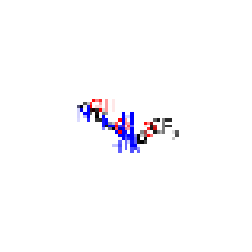 Cc1ccc([C@]2(O)CC[C@H](N3CC(NC(=O)CNc4nn(C)c5ccc(OCC(F)(F)F)cc45)C3)CC2)cn1